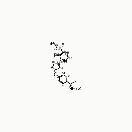 CC(=O)N[C@@H](C)c1ccc(O[C@@H]2CCN(c3ncnc(N(C)CC(C)C)c3F)C2)cc1